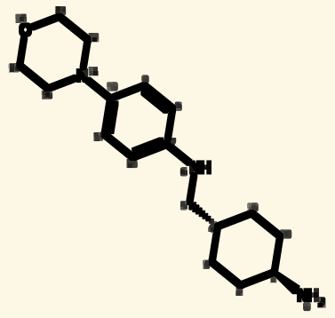 N[C@H]1CC[C@H](CNc2ccc(N3CCOCC3)cc2)CC1